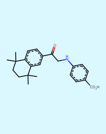 CC1(C)CCC(C)(C)c2cc(C(=O)CNc3ccc(C(=O)O)cc3)ccc21